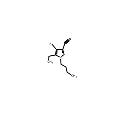 CCCCn1nc(C#N)c(Br)c1CC